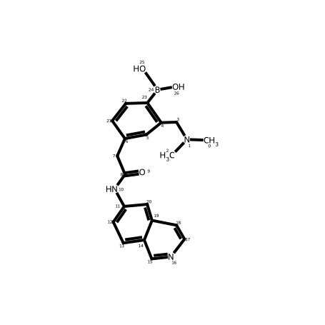 CN(C)Cc1cc(CC(=O)Nc2ccc3cnccc3c2)ccc1B(O)O